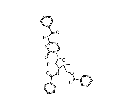 C[C@]1(COC(=O)c2ccccc2)O[C@@H](n2ccc(NC(=O)c3ccccc3)nc2=O)[C@@H](F)[C@@H]1OC(=O)c1ccccc1